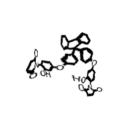 O=C1C=CC(=O)N1c1ccc(Oc2ccc(C3(c4ccc(Oc5ccc(N6C(=O)C=CC6=O)c(O)c5)cc4)c4ccccc4-c4ccccc43)cc2)cc1O